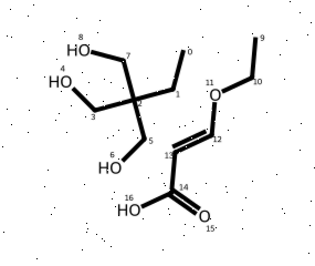 CCC(CO)(CO)CO.CCOC=CC(=O)O